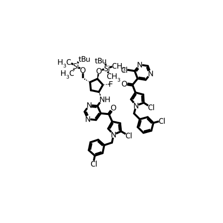 CC(C)(C)[Si](C)(C)OC[C@H]1C[C@@H](Nc2ncncc2C(=O)c2cc(Cl)n(Cc3cccc(Cl)c3)c2)[C@@H](F)[C@@H]1O[Si](C)(C)C(C)(C)C.O=C(c1cc(Cl)n(Cc2cccc(Cl)c2)c1)c1cncnc1Cl